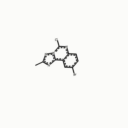 Cc1nc2c3cc(Br)ccc3nc(Cl)n2n1